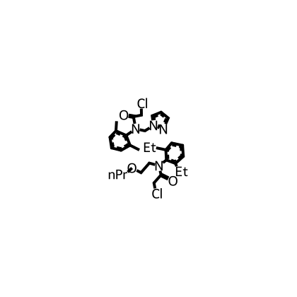 CCCOCCN(C(=O)CCl)c1c(CC)cccc1CC.Cc1cccc(C)c1N(Cn1cccn1)C(=O)CCl